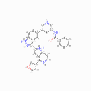 O=C(Nc1cncc(-c2ccc3[nH]nc(-c4cc5c(-c6ccoc6)nccc5[nH]4)c3c2)c1)c1ccccc1